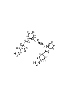 Nc1ccc(/C=C/c2cccc[n+]2CSSCC[n+]2ccccc2/C=C/C2=CCC(N)C=C2)cc1